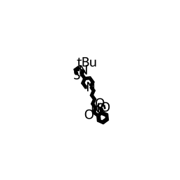 CC(C)(C)c1csc(C2CCN(CCCCN3C(=O)c4ccccc4S3(=O)=O)CC2)n1